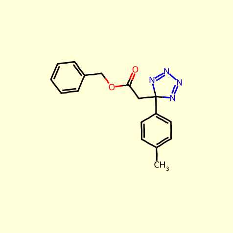 Cc1ccc(C2(CC(=O)OCc3ccccc3)N=NN=N2)cc1